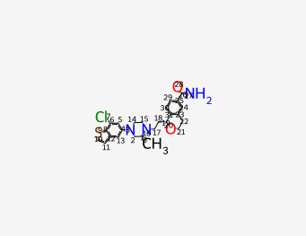 C[C@@H]1CN(c2cc(Cl)c3sccc3c2)CCN1CC[C@@H]1OCCc2cc(C(N)=O)ccc21